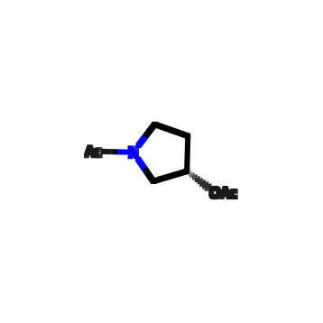 CC(=O)O[C@H]1CCN(C(C)=O)C1